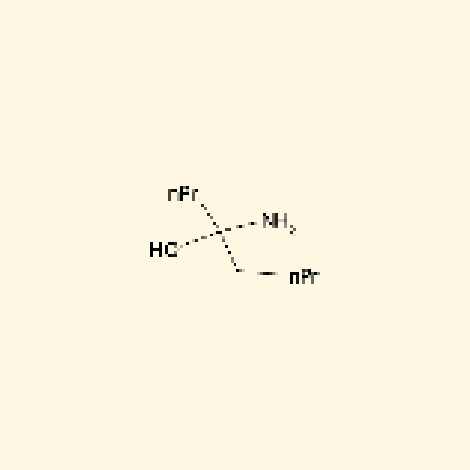 CCCCC(N)(O)CCC